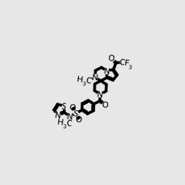 CN1CCn2c(C(=O)C(F)(F)F)ccc2C12CCN(C(=O)c1ccc(S(=O)(=O)N(C)c3nccs3)cc1)CC2